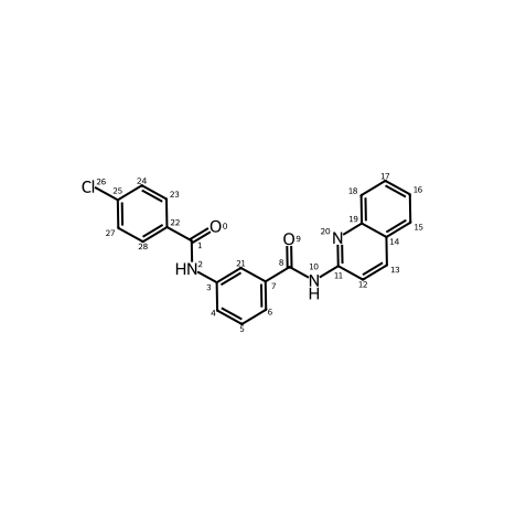 O=C(Nc1cccc(C(=O)Nc2ccc3ccccc3n2)c1)c1ccc(Cl)cc1